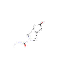 CNC(=O)N1CC2CC(=O)CC2C1